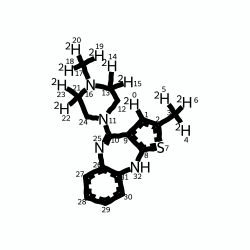 [2H]c1c(C([2H])([2H])[2H])sc2c1C(N1CC([2H])([2H])N(C([2H])([2H])[2H])C([2H])([2H])C1)=Nc1ccccc1N2